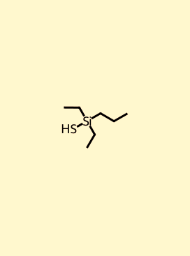 CCC[Si](S)(CC)CC